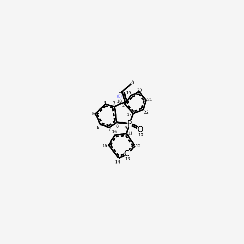 C/C=C/c1ccccc1P(=O)(c1ccccc1)c1ccccc1